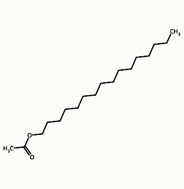 CCCCCCCCCCCCCCC[CH]OC(C)=O